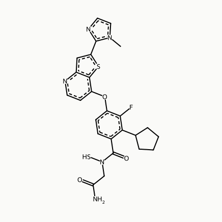 Cn1ccnc1-c1cc2nccc(Oc3ccc(C(=O)N(S)CC(N)=O)c(C4CCCC4)c3F)c2s1